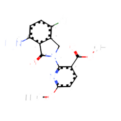 COC(=O)c1ccc(OC)nc1N1Cc2c(Cl)ccc(N)c2C1=O